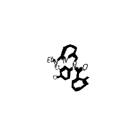 CCN(CC)c1cccc(CN(C(=O)c2ccccc2C)c2ccc(Cl)cc2)n1